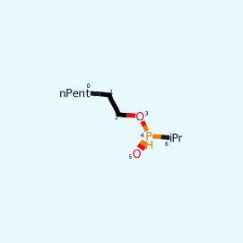 CCCCCCCO[PH](=O)C(C)C